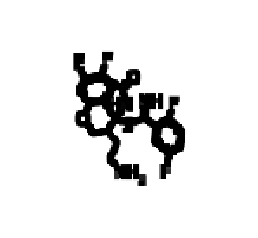 CC(=O)NC1(SC(=N)c2cc(F)ccc2F)c2cc(F)c(F)cc2OC[C@@H]1CCN